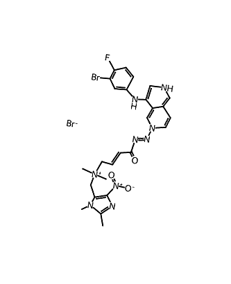 Cc1nc([N+](=O)[O-])c(C[N+](C)(C)C/C=C/C(=O)N=NN2C=CC3=CNC=C(Nc4ccc(F)c(Br)c4)C3=C2)n1C.[Br-]